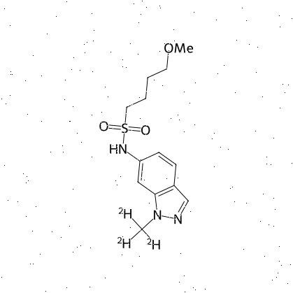 [2H]C([2H])([2H])n1ncc2ccc(NS(=O)(=O)CCCCOC)cc21